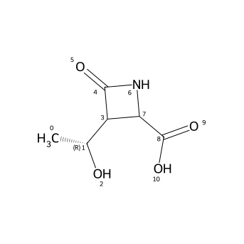 C[C@@H](O)C1C(=O)NC1C(=O)O